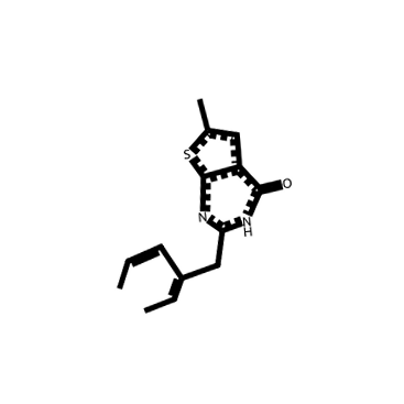 C/C=C\C(=C/C)Cc1nc2sc(C)cc2c(=O)[nH]1